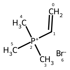 C=C[P+](C)(C)C.[Br-]